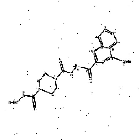 CCCCCCNC(=O)N1CCN(C(=O)CNC(=O)c2cc(OC)c3ccccc3n2)CC1